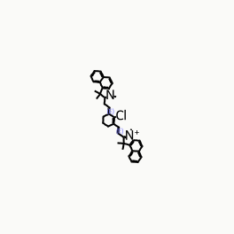 CN1c2ccc3ccccc3c2C(C)(C)C1C/C=C1\CCCC(/C=C/C2=[N+](C)c3ccc4ccccc4c3C2(C)C)=C1Cl